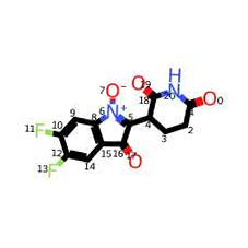 O=C1CCC(C2=[N+]([O-])c3cc(F)c(F)cc3C2=O)C(=O)N1